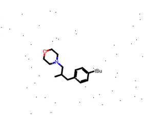 CC(Cc1ccc(C(C)(C)C)cc1)CN1CCOCC1